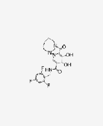 O=C(NCc1c(F)cc(F)cc1F)C1=CN2C(=C(O)C1O)C(=O)N1CCCCCN2C1